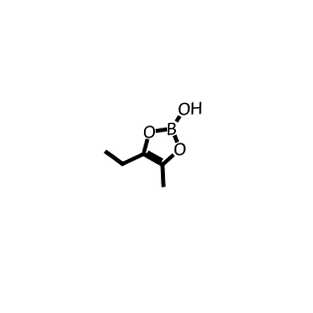 CCC1=C(C)OB(O)O1